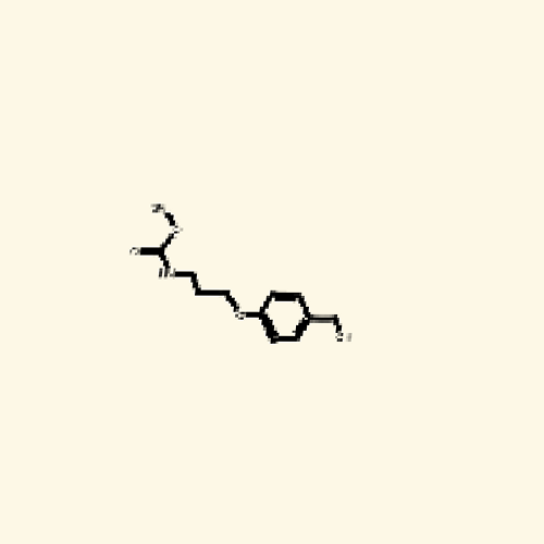 CC(C)(C)OC(=O)NCCCOc1ccc(CO)cc1